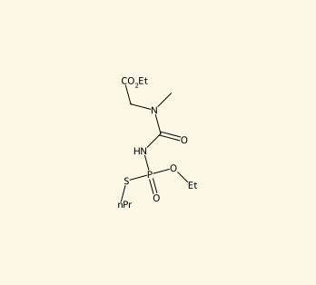 CCCSP(=O)(NC(=O)N(C)CC(=O)OCC)OCC